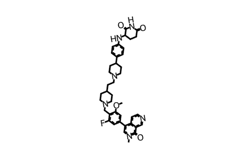 COc1cc(-c2cn(C)c(=O)c3cnccc23)cc(F)c1CN1CCC(CCN2CCC(c3ccc(NC4CCC(=O)NC4=O)cc3)CC2)CC1